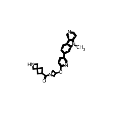 Cn1c2ccncc2c2ccc(-c3ccc(OC4CN(C(=O)C5CC6(CNC6)C5)C4)nc3)cc21